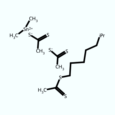 CC(=S)SCCCCCC(C)C.CC(=S)[S-].CC(=S)[S-].[CH3][Sn+2][CH3]